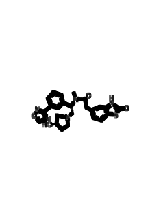 CN(C(=O)Cc1ccc2sc(=O)[nH]c2c1)[C@H](CN1CC[C@H](O)C1)c1cccc(-c2ncon2)c1